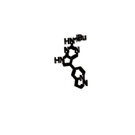 CC[C@H](C)Nc1ncc2c(-c3ccn4nccc4c3)c[nH]c2n1